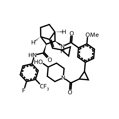 COc1ccc(C2CC2C(=O)N2CCC(O)CC2)cc1C(=O)N[C@H]1[C@@H](C(=O)Nc2ccc(F)c(C(F)(F)F)c2)[C@H]2CC[C@@H]1/C2=C\C1CC1